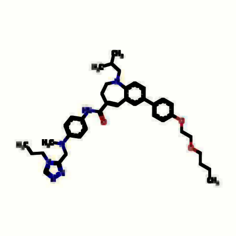 CCCCOCCOc1ccc(-c2ccc3c(c2)C=C(C(=O)Nc2ccc(N(C)Cc4nncn4CCC)cc2)CCN3CC(C)C)cc1